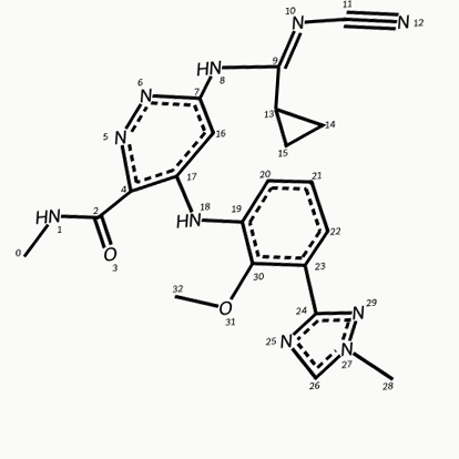 CNC(=O)c1nnc(N/C(=N/C#N)C2CC2)cc1Nc1cccc(-c2ncn(C)n2)c1OC